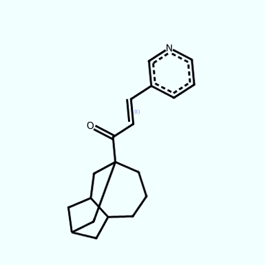 O=C(/C=C/c1cccnc1)C12CCCC3CC(CC3C1)C2